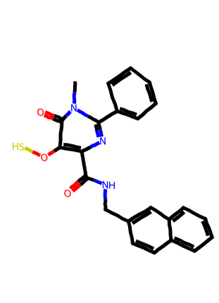 Cn1c(-c2ccccc2)nc(C(=O)NCc2ccc3ccccc3c2)c(OS)c1=O